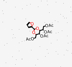 CC(=O)OCC1OC(c2ccco2)OC(C(COC(C)=O)OC(C)=O)C1OC(C)=O